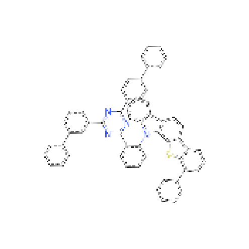 c1ccc(-c2ccc(-c3nc(-c4cccc(-c5ccccc5)c4)nc(-c4ccccc4-n4c5ccccc5c5ccc6c7cccc(-c8ccccc8)c7sc6c54)n3)cc2)cc1